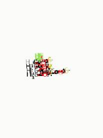 CCc1ccc(COc2ccc([S])cc2)cc1.CCc1ccc(COc2ccc([S])cc2)cc1.CCc1ccc(COc2ccc([S])cc2)cc1.CCc1ccc(COc2ccc([S])cc2)cc1.CCc1ccc(COc2ccc([S])cc2)cc1.F.F.F.F.F